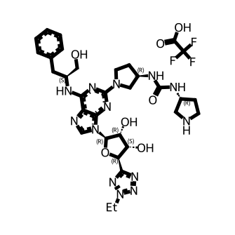 CCn1nnc([C@H]2O[C@@H](n3cnc4c(N[C@H](CO)Cc5ccccc5)nc(N5CC[C@@H](NC(=O)N[C@@H]6CCNC6)C5)nc43)[C@H](O)[C@@H]2O)n1.O=C(O)C(F)(F)F